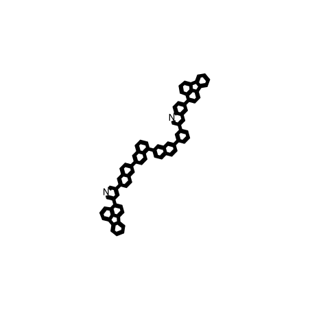 c1cc(-c2ccc3ccc(-c4cccc5cc(-c6ccc7cc(-c8cncc(-c9ccc%10c%11c(cccc9%11)-c9ccccc9-%10)c8)ccc7c6)ccc45)cc3c2)cc(-c2cnc3ccc(-c4ccc5c6c(cccc46)-c4ccccc4-5)cc3c2)c1